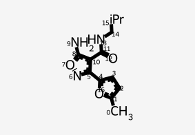 Cc1ccc(-c2noc(N)c2C(=O)NCC(C)C)o1